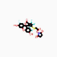 O=C(CSc1c(F)c(F)c2c(c1F)C1(OC2=O)c2cc(F)c(O)cc2Oc2cc(O)c(F)cc21)ON1C(=O)CCC1=O